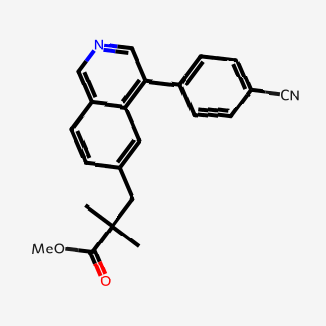 COC(=O)C(C)(C)Cc1ccc2cncc(-c3ccc(C#N)cc3)c2c1